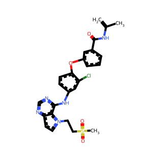 C=C(C)NC(=O)c1cccc(Oc2ccc(Nc3ncnc4ccn(CCS(C)(=O)=O)c34)cc2Cl)c1